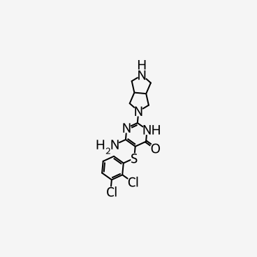 Nc1nc(N2CC3CNCC3C2)[nH]c(=O)c1Sc1cccc(Cl)c1Cl